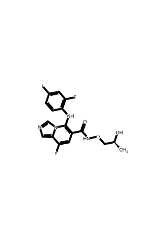 C[C@H](O)CONC(=O)c1cc(F)c2cncn2c1Nc1ccc(I)cc1F